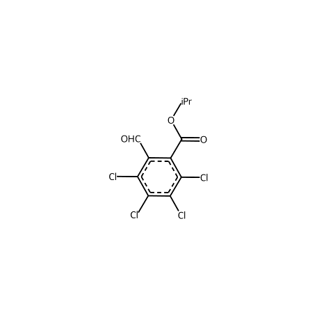 CC(C)OC(=O)c1c(Cl)c(Cl)c(Cl)c(Cl)c1C=O